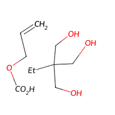 C=CCOC(=O)O.CCC(CO)(CO)CO